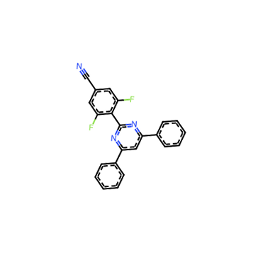 N#Cc1cc(F)c(-c2nc(-c3ccccc3)cc(-c3ccccc3)n2)c(F)c1